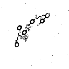 O=C(NS(=O)(=O)c1ccc(N[C@H](CCCN2C3CCC2CC3)CSc2ccccc2)c(S(=O)(=O)C(F)(F)F)c1)c1ccc(NCCNCC2=C(c3ccc(Cl)cc3)CCOC2)cc1